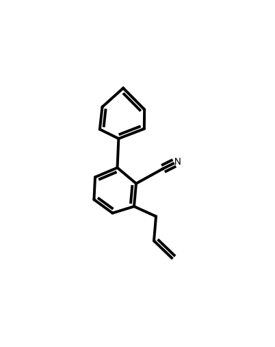 C=CCc1cccc(-c2ccccc2)c1C#N